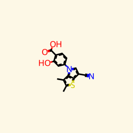 Cc1sc2c(C#N)cn(-c3ccc(C(=O)O)c(O)c3)c2c1C